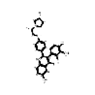 CC1=C(c2ccc(Cl)c(O)c2F)C(c2ccc(OC[C@H](C)N3CC[C@@H](C)C3)cc2)Oc2ccc(O)cc21